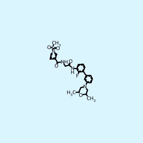 CC1CN(c2cccc(-c3cccc(NC(=O)CNC(=O)c4ccn(S(C)(=O)=O)c4)c3F)c2)CC(C)O1